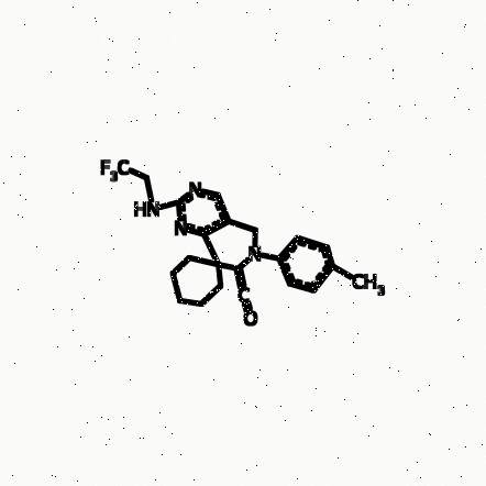 Cc1ccc(N2Cc3cnc(NCC(F)(F)F)nc3C3(CCCCC3)C2=C=O)cc1